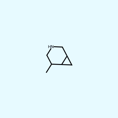 CC1CNCC2CC12